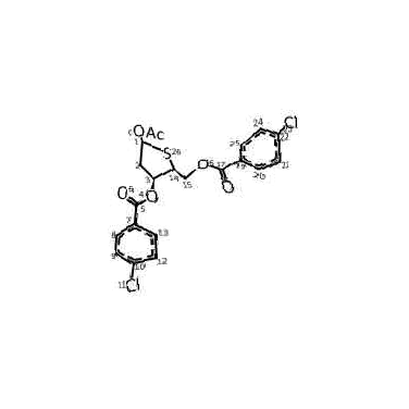 CC(=O)OC1C[C@H](OC(=O)c2ccc(Cl)cc2)[C@H](COC(=O)c2ccc(Cl)cc2)S1